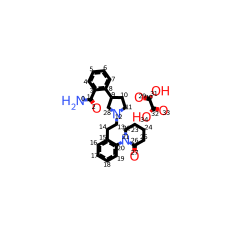 NC(=O)c1ccccc1C1CCN(CCc2ccccc2N2CCCCC2=O)C1.O=C(O)C(=O)O